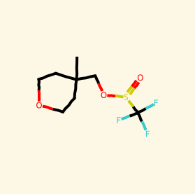 CC1(COS(=O)C(F)(F)F)CCOCC1